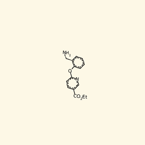 CCOC(=O)c1ccc(Oc2ccccc2CN)nc1